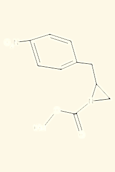 CC(C)(C)OC(=O)N1CC1Cc1ccc([N+](=O)[O-])cc1